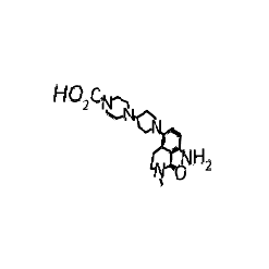 CN1CCc2c(N3CCC(N4CCN(C(=O)O)CC4)CC3)ccc(N)c2C1=O